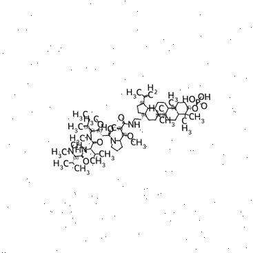 C=C(C)[C@@H]1CC[C@]2(CCNC(=O)[C@H](C)[C@@H](OC)C3CCCN3C(=O)C[C@@H](OC)[C@H]([C@@H](C)CC)N(C)C(=O)C(NC(=O)[C@H](C(C)C)N(C)C)C(C)C)CC[C@]3(C)C(CCC4[C@@]5(C)CC[C@H](OP(=O)(O)O)C(C)(C)C5CC[C@]43C)C12